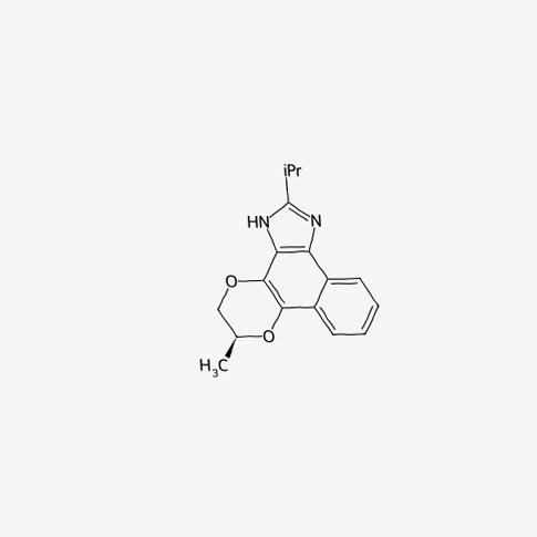 CC(C)c1nc2c([nH]1)c1c(c3ccccc32)O[C@@H](C)CO1